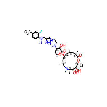 CC[C@H]1OC(=O)[C@H](C)C[C@H](C)[C@@H](O[C@@H]2O[C@H](C)C[C@H](N(C)CCn3cc(CNc4ccc([N+](=O)[O-])cc4F)nn3)[C@H]2O)[C@](C)(O)C[C@@H](C)CN(C)[C@H](C)[C@@H](O)[C@]1(C)O